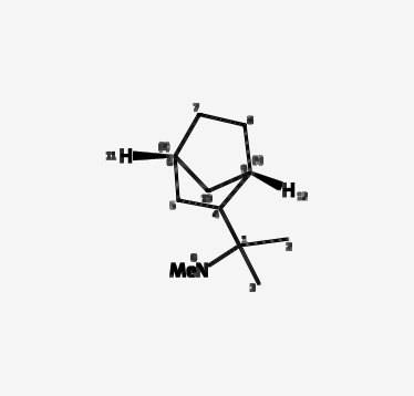 CNC(C)(C)C1C[C@@H]2CC[C@H]1C2